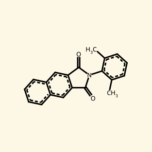 Cc1cccc(C)c1N1C(=O)c2cc3ccccc3cc2C1=O